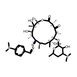 CC[C@H]1OC(=O)[C@H](C)C(=O)[C@H](C)[C@@H](OC2OC(C)CC(N(C)C)C2O)[C@](C)(OC)C[C@@H](C)/C(=N\N=C/c2ccc(N(C)C)cc2)[C@H](C)[C@@H](O)[C@]1(C)O